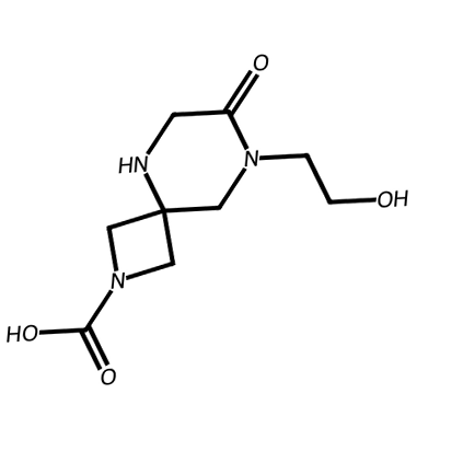 O=C(O)N1CC2(C1)CN(CCO)C(=O)CN2